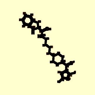 Cc1nc(C)c(C(=O)N2CCC(CCCCNC(=O)C3Cc4cnccc4N3)CC2)s1